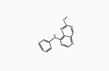 CSc1ncc2ncnc(Nc3ccccc3)c2n1